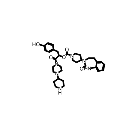 O=C(OC(Cc1ccc(O)cc1)C(=O)N1CCN(C2CCNCC2)CC1)N1CCC(N2CCc3ccccc3NC2=O)CC1